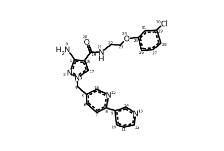 Nc1nn(Cc2ccc(-c3cccnc3)nc2)cc1C(=O)NCCOc1cccc(Cl)c1